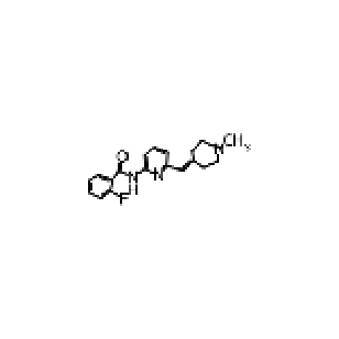 CN1CCC(=Cc2cccc(NC(=O)c3ccccc3F)n2)CC1